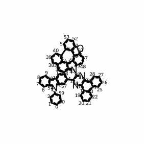 c1ccc(-n2c3ccccc3c3ccc(-c4nc5c6ccccc6c6ccccc6c5nc4-n4c5ccc6cccc7c6c5c5c6c(ccc54)oc4cccc-7c46)cc32)cc1